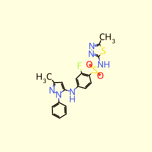 Cc1cc(Nc2ccc(S(=O)(=O)Nc3nnc(C)s3)c(F)c2)n(-c2ccccc2)n1